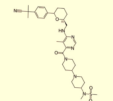 Cc1c(NC[C@@H]2CCCC(c3ccc(C(C)(C)C#N)cc3)O2)ncnc1C(=O)N1CCC(N2CCC(N(C)S(C)(=O)=O)CC2)CC1